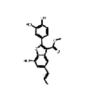 C/C=C/c1cc(O)c2oc(-c3ccc(O)c(O)c3)c(C(=O)OC)c2c1